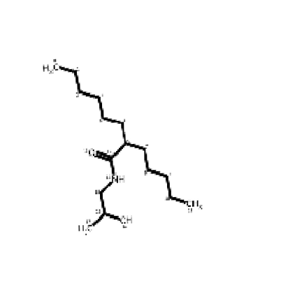 CCCCCCC(CCCCC)C(=O)NCC(C)O